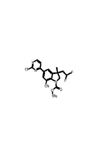 CC(C)(C)OC(=O)N1CC(C)(CC(F)F)c2cc(-c3ccnc(Cl)n3)cc(C#N)c21